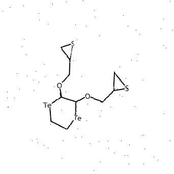 C1C[Te]C(OCC2CS2)C(OCC2CS2)[Te]1